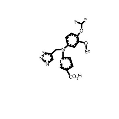 CCOc1cc(N(Cc2cnns2)c2ccc(C(=O)O)cc2)ccc1OC(F)F